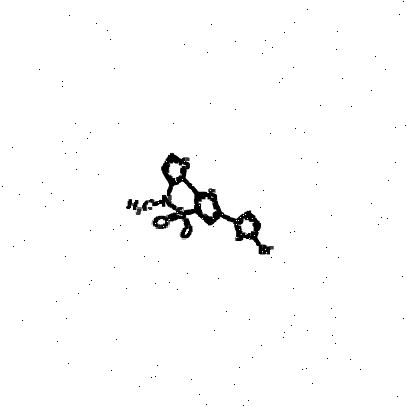 CN1c2ccsc2-c2sc(-c3ccc(Br)s3)cc2S1(=O)=O